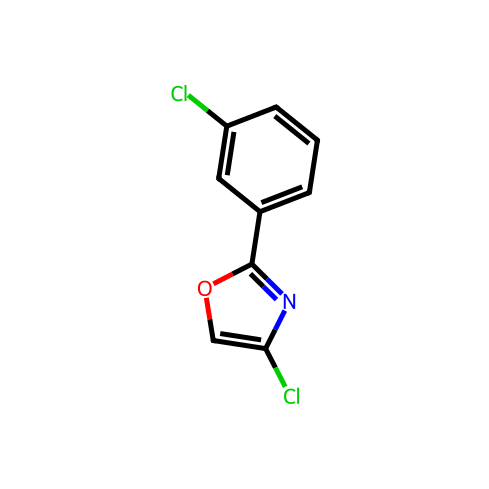 Clc1cccc(-c2nc(Cl)co2)c1